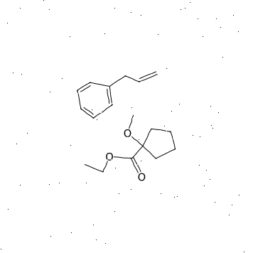 C=CCc1ccccc1.CCOC(=O)C1(OC)CCCC1